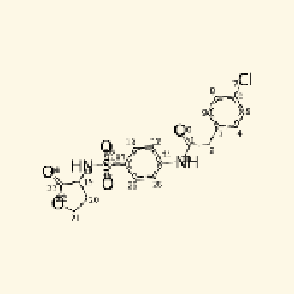 O=C(Cc1ccc(Cl)cc1)Nc1ccc(S(=O)(=O)NC2CCOC2=O)cc1